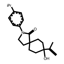 C=C(C)C1(O)CCC2(CCN(c3ccc(C(C)C)cc3)C2=O)CC1